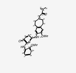 COc1cc2c(cc1Nc1ncc(Cl)c(Nc3cccnc3OC)n1)CCN(CC(=O)N(C)C)CC2